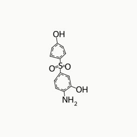 Nc1ccc(S(=O)(=O)c2ccc(O)cc2)cc1O